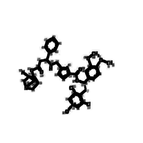 COc1ccc([C@H](Cc2c(Cl)c[n+]([O-])cc2Cl)OC(=O)c2ccc(CNC(CC(=O)O[C@H]3CN4CCC3CC4)c3ccccc3)s2)cc1OC